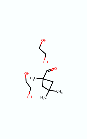 CC1(C)CC(C)(C=O)C1.OCCO.OCCO